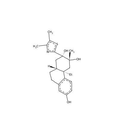 CC[C@@]12C[C@@](C)(O)[C@](O)(c3nc(C)c(C)s3)C[C@H]1CCc1cc(O)ccc12